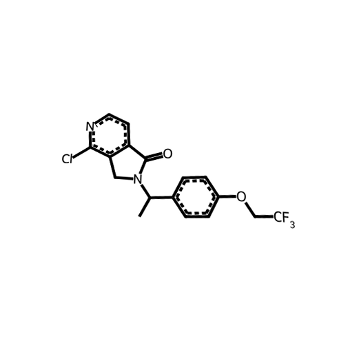 CC(c1ccc(OCC(F)(F)F)cc1)N1Cc2c(ccnc2Cl)C1=O